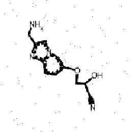 N#CC(O)COc1ccc2nc(CN)cn2c1